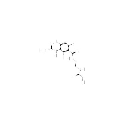 CC(=O)Nc1c(I)cc(I)c(C(=O)NCCNC(=O)CCl)c1I